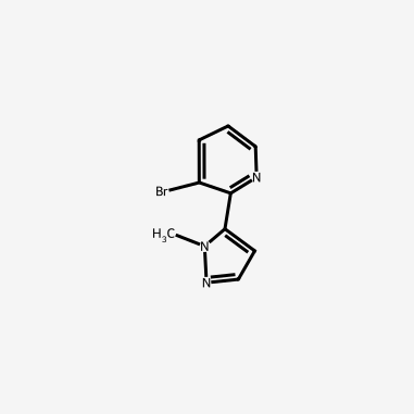 Cn1nccc1-c1ncccc1Br